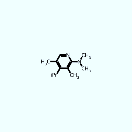 Cc1cnc(N(C)C)c(C)c1C(C)C